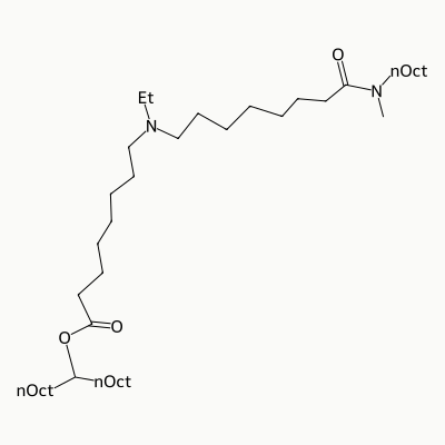 CCCCCCCCC(CCCCCCCC)OC(=O)CCCCCCCN(CC)CCCCCCCC(=O)N(C)CCCCCCCC